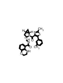 Cc1cccc(-c2sc(C)nc2C(=O)N2[C@H](CNC(=O)c3cccc4c3NCCO4)C[C@@H]3C[C@@H]32)c1